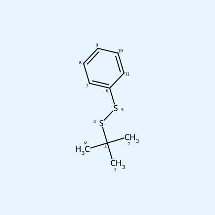 CC(C)(C)SSc1ccccc1